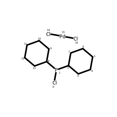 ClP(C1CCCCC1)C1CCCCC1.[Cl][Pd][Cl]